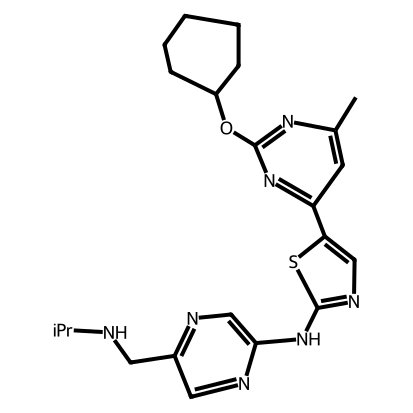 Cc1cc(-c2cnc(Nc3cnc(CNC(C)C)cn3)s2)nc(OC2CCCCC2)n1